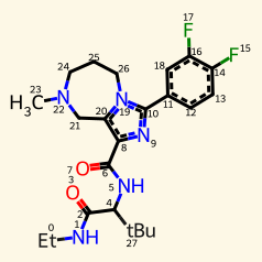 CCNC(=O)C(NC(=O)c1nc(-c2ccc(F)c(F)c2)n2c1CN(C)CCC2)C(C)(C)C